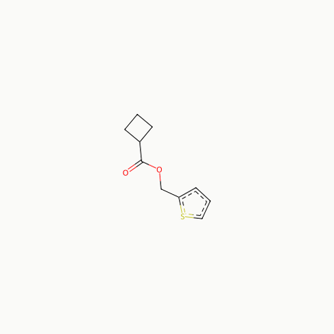 O=C(OCc1cccs1)C1CCC1